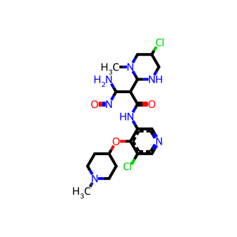 CN1CCC(Oc2c(Cl)cncc2NC(=O)C(C(N)N=O)C2NCC(Cl)CN2C)CC1